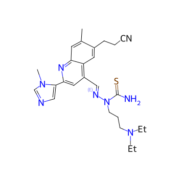 CCN(CC)CCCN(/N=C/c1cc(-c2cncn2C)nc2cc(C)c(CCC#N)cc12)C(N)=S